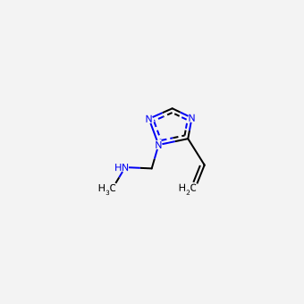 C=Cc1ncnn1CNC